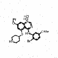 COc1ccc(Br)c(Nc2ncnc3cc(OC(C)C)cc(OC4CCNCC4)c23)c1.Cl.Cl